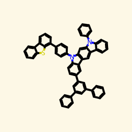 c1ccc(-c2cc(-c3ccccc3)cc(-c3ccc4c(c3)c3cc5c6ccccc6n(-c6ccccc6)c5cc3n4-c3ccc(-c4cccc5c4sc4ccccc45)cc3)c2)cc1